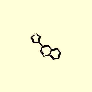 c1ccc2ncc(-c3ccoc3)cc2c1